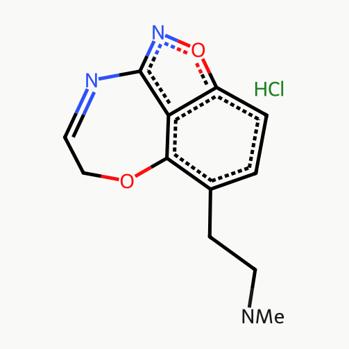 CNCCc1ccc2onc3c2c1OCC=N3.Cl